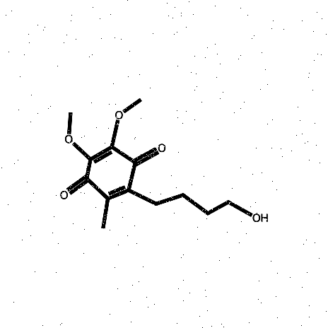 COC1=C(OC)C(=O)C(CCCCO)=C(C)C1=O